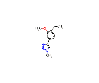 CCc1ccc(-c2cn(C)nn2)cc1OC